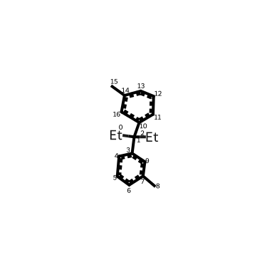 CCC(CC)(c1cccc(C)c1)c1cccc(C)c1